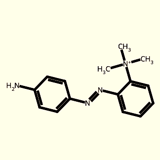 C[N+](C)(C)c1ccccc1N=Nc1ccc(N)cc1